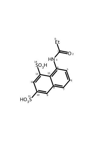 CCC(=O)Nc1cccc2cc(S(=O)(=O)O)cc(S(=O)(=O)O)c12